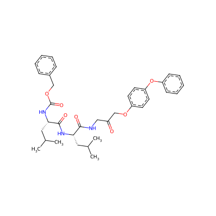 CC(C)C[C@H](NC(=O)OCc1ccccc1)C(=O)N[C@@H](CC(C)C)C(=O)NCC(=O)COc1ccc(Oc2ccccc2)cc1